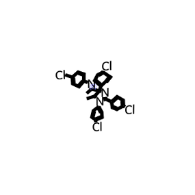 C/C(=N\c1ccc(Cl)cc1)C1(c2ccc(Cl)cc2)N=C(c2ccc(Cl)cc2)N(c2ccc(Cl)cc2)C1C